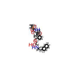 C[C@@H](OCC(O)CNC(C)(C)Cc1ccc2ccccc2c1)c1cccc2c1[C@@H]1[C@H](O2)[C@H]1C(=O)NS(=O)(=O)C1(C)CC1